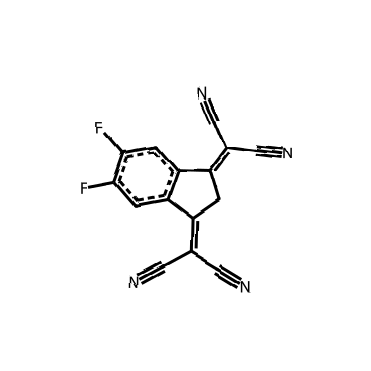 N#CC(C#N)=C1CC(=C(C#N)C#N)c2cc(F)c(F)cc21